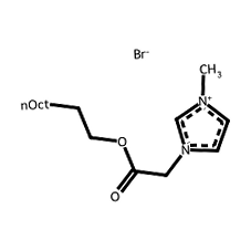 CCCCCCCCCCOC(=O)Cn1cc[n+](C)c1.[Br-]